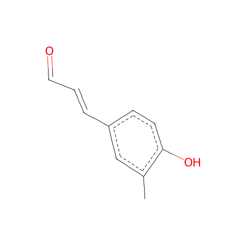 Cc1cc(/C=C/C=O)ccc1O